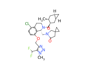 C[C@H]1C[C@H]2C[C@H]2C[C@H]1C(=O)N1CCc2c(Cl)ccc(OCc3nnn(C)c3C(F)F)c2[C@H]1CN1CC2(CC2)CC1=O